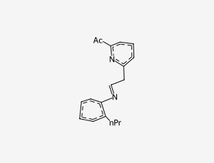 CCCc1ccccc1N=CCc1cccc(C(C)=O)n1